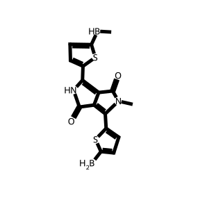 Bc1ccc(C2=C3C(=O)NC(c4ccc(BC)s4)=C3C(=O)N2C)s1